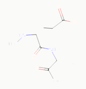 CN[C@H](CCC(=O)O)C(=O)N[C@H](C)C(C)=O